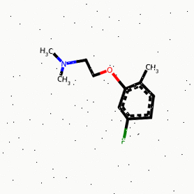 Cc1ccc(F)cc1OCCN(C)C